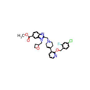 COC(=O)c1ccc2nc(CN3CC=C(c4cccnc4OCc4ccc(Cl)cc4F)CC3)n(CC3CCO3)c2c1